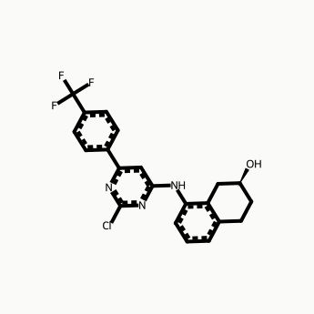 O[C@H]1CCc2cccc(Nc3cc(-c4ccc(C(F)(F)F)cc4)nc(Cl)n3)c2C1